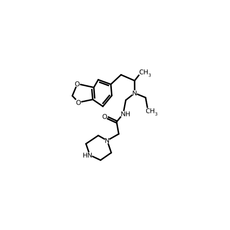 CCN(CNC(=O)CN1CCNCC1)C(C)Cc1ccc2c(c1)OCO2